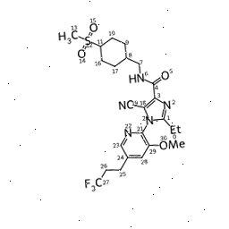 CCc1nc(C(=O)NCC2CCC(S(C)(=O)=O)CC2)c(C#N)n1-c1ncc(CCC(F)(F)F)cc1OC